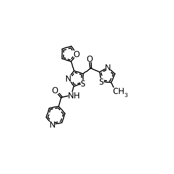 Cc1cnc(C(=O)c2sc(NC(=O)c3ccncc3)nc2-c2ccco2)s1